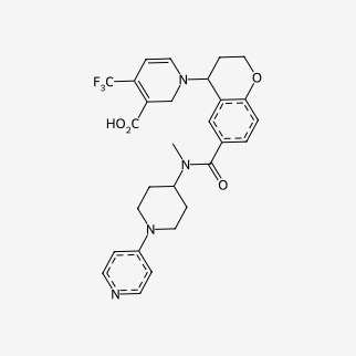 CN(C(=O)c1ccc2c(c1)C(N1C=CC(C(F)(F)F)=C(C(=O)O)C1)CCO2)C1CCN(c2ccncc2)CC1